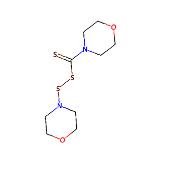 S=C(SSN1CCOCC1)N1CCOCC1